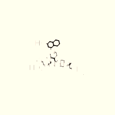 C=CC(=O)N1CCN(c2nc(OC(C)C=O)nc3c2CCN(c2cc(O)cc4ccccc24)C3)CC1